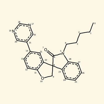 CCCCCN1C(=O)C2(COc3ccc(-c4cncnc4)cc32)c2ccccc21